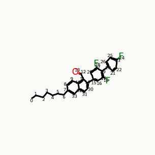 CCCCCCCc1ccc2c(C=O)c(-c3cc(F)c(-c4ccc(F)cc4)c(F)c3)ccc2c1